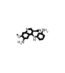 Bc1cccc(Nc2c(C#N)cnc3cc(OC)c(N)cc23)c1